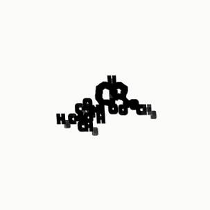 COC(=O)[C@@H]1CC[C@@H]2CC=C[C@H](NC(=O)OC(C)(C)C)C(=O)N21